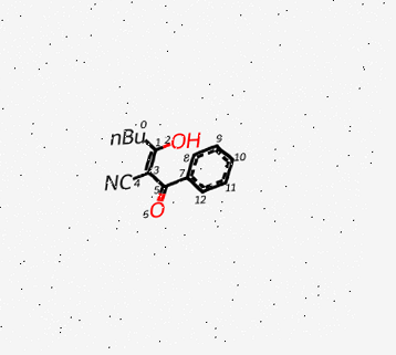 CCCCC(O)=C(C#N)C(=O)c1ccccc1